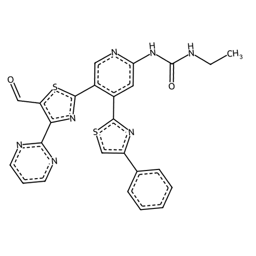 CCNC(=O)Nc1cc(-c2nc(-c3ccccc3)cs2)c(-c2nc(-c3ncccn3)c(C=O)s2)cn1